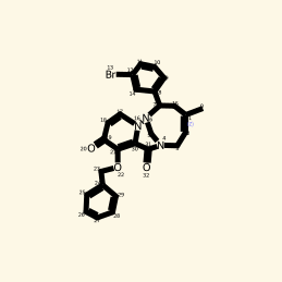 C/C1=C/CN2CN(C(c3cccc(Br)c3)C1)n1ccc(=O)c(OCc3ccccc3)c1C2=O